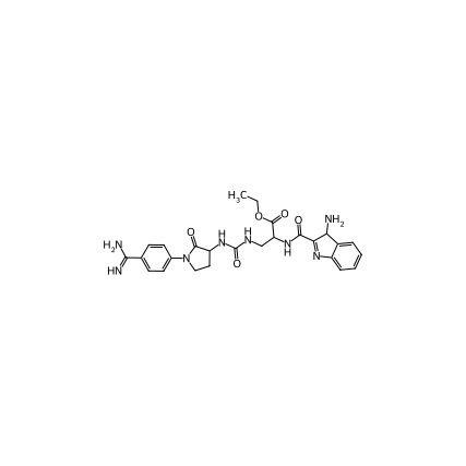 CCOC(=O)C(CNC(=O)NC1CCN(c2ccc(C(=N)N)cc2)C1=O)NC(=O)C1=Nc2ccccc2C1N